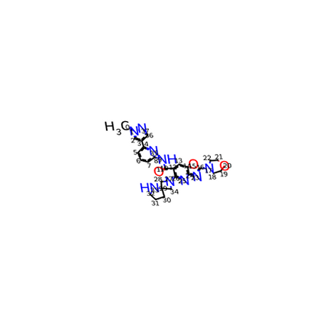 Cn1cc(-c2cccc(NC(=O)c3cc4oc(N5CCOCC5)nc4nc3N3CC4(CCCN4)C3)n2)cn1